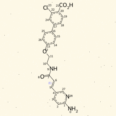 Nc1ccc(/C=C/C(=O)NCCOc2ccc(-c3ccc(C(=O)O)c(Cl)c3)cc2)cn1